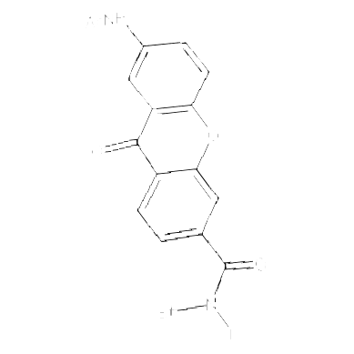 CCN(CC)C(=O)c1ccc2c(=O)c3cc(NC(C)=O)ccc3oc2c1